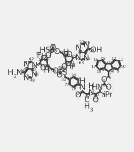 CC(C)[C@H](NC(=O)OCC1c2ccccc2-c2ccccc21)C(=O)N[C@@H](C)C(=O)Nc1ccc(CSP2(=O)OC[C@H]3O[C@@H](n4cnc5c(N)ncnc54)[C@H](F)[C@@H]3OP(=O)(S)OC[C@H]3O[C@@H](n4cnc5c(O)ncnc54)[C@H](F)[C@@H]3O2)cc1